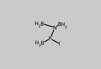 BN(B)P(B)I